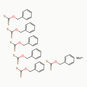 S=C([S-])OCc1ccccc1.S=C([S-])OCc1ccccc1.S=C([S-])OCc1ccccc1.S=C([S-])OCc1ccccc1.S=C([S-])OCc1ccccc1.S=C([S-])OCc1ccccc1.[Mo+6]